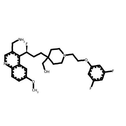 COc1ccc2ncc(CN)c([C@@H](F)CCC3(CO)CCN(CCOc4cc(F)cc(F)c4)CC3)c2c1